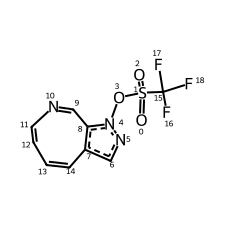 O=S(=O)(On1ncc2c1C=NC=CC=C2)C(F)(F)F